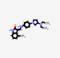 CCN(CC)C1CCN(c2ccc(N/C=C3\C(=O)Nc4cccc(C)c43)cc2)C1